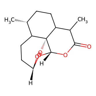 CC1C(=O)O[C@@H]2O[C@H]3CCC4[C@H](C)CCC1[C@]42OO3